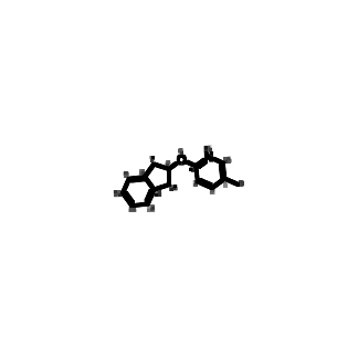 Cc1ccc(OC2Cc3ccccc3C2)nc1